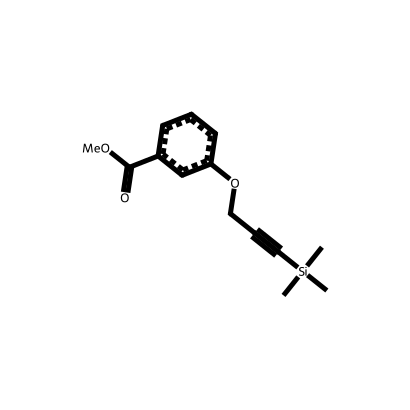 COC(=O)c1cccc(OCC#C[Si](C)(C)C)c1